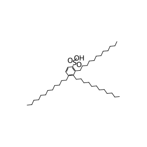 CCCCCCCCCCCCc1ccc(S(=O)(=O)O)c(CCCCCCCCCCCC)c1CCCCCCCCCCCC